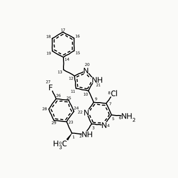 C[C@H](Nc1nc(N)c(Cl)c(-c2cc(Cc3ccccc3)n[nH]2)n1)c1ccc(F)cc1